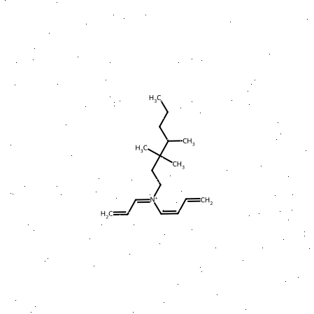 C=C/C=C\[N+](=C/C=C)CCC(C)(C)C(C)CCC